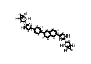 c1cc(-c2c[nH]c([C@@H]3C[C@@H]4C[C@@H]4N3)n2)ccc1-c1ccc2cc(-c3c[nH]c([C@@H]4C[C@@H]5C[C@@H]5N4)n3)ccc2c1